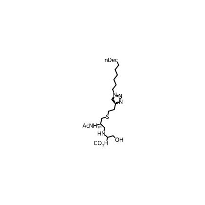 CCCCCCCCCCCCCCCCn1cc(CCSC[C@@H](CNC(CO)C(=O)O)NC(C)=O)nn1